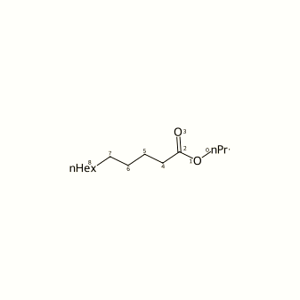 CC[CH]OC(=O)CCCCCCCCCC